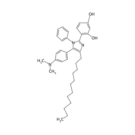 CCCCCCCCCCCCc1nc(-c2ccc(O)cc2O)n(-c2ccccc2)c1-c1ccc(N(C)C)cc1